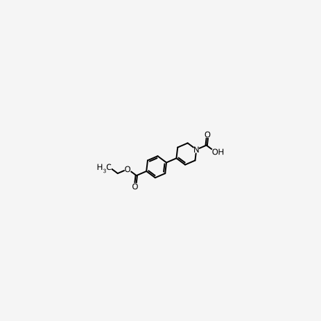 CCOC(=O)c1ccc(C2=CCN(C(=O)O)CC2)cc1